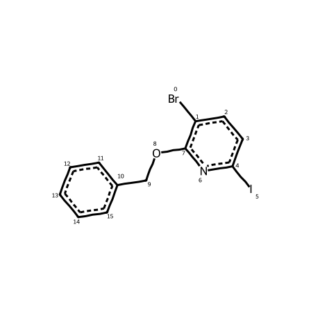 Brc1ccc(I)nc1OCc1ccccc1